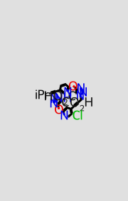 CC(C)C#Cc1ccc(Oc2nnn(CC#Cc3cc(Oc4nn[nH]c4C(=O)O)ncc3Cl)c2C(=O)O)nc1